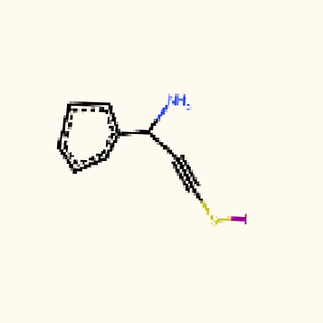 NC(C#CSI)c1ccccc1